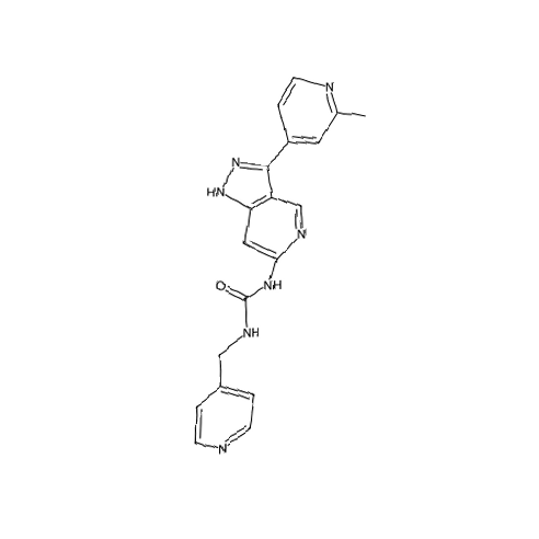 Cc1cc(-c2n[nH]c3cc(NC(=O)NCc4ccncc4)ncc23)ccn1